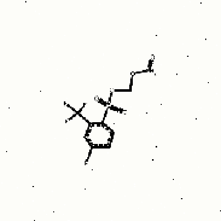 O=[PH2]OCOS(=O)(=O)c1ccc(F)cc1C(F)(F)F